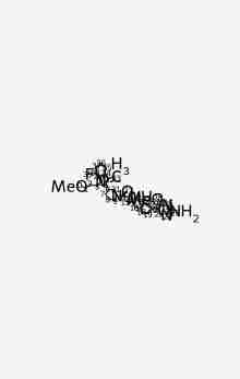 COCCCn1c(C2CCCN(C(=O)C[C@H](N)Cc3ccc(-c4cnc(N)nc4OC)cc3)C2)c(C)c2cccc(F)c21